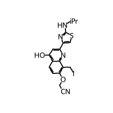 CC(C)Nc1nc(-c2cc(O)c3ccc(OCC#N)c(CI)c3n2)cs1